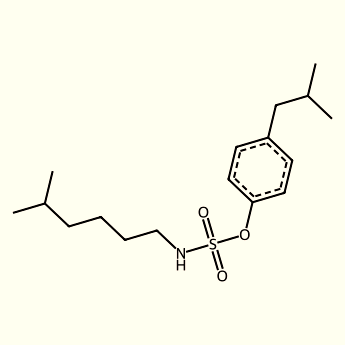 CC(C)CCCCNS(=O)(=O)Oc1ccc(CC(C)C)cc1